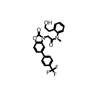 CN(C(=O)Cn1c(=O)oc2ccc(-c3ccc(C(F)(F)F)cc3)cc21)c1ccccc1CCO